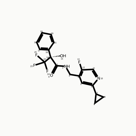 O=C(NCc1cc(C2CC2)ncc1F)[C@](O)(c1ccccc1)C(F)(F)F